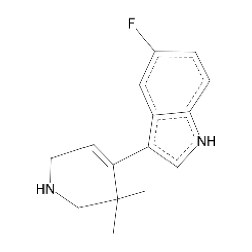 CC1(C)CNCC=C1c1c[nH]c2ccc(F)cc12